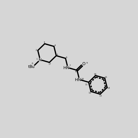 CC(C)(C)N1CCCC(CNC(=O)Nc2ccccc2)C1